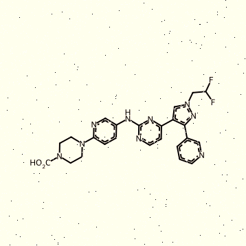 O=C(O)N1CCN(c2ccc(Nc3nccc(-c4cn(CC(F)F)nc4-c4cccnc4)n3)cn2)CC1